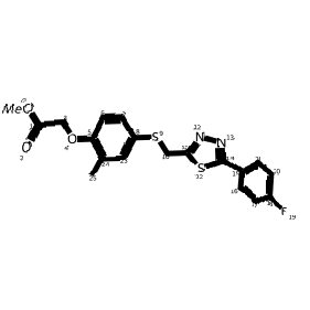 COC(=O)COc1ccc(SCc2nnc(-c3ccc(F)cc3)s2)cc1C